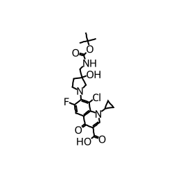 CC(C)(C)OC(=O)NCC1(O)CCN(c2c(F)cc3c(=O)c(C(=O)O)cn(C4CC4)c3c2Cl)C1